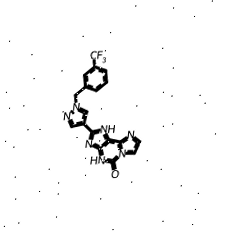 O=c1[nH]c2nc(-c3cnn(Cc4cccc(C(F)(F)F)c4)c3)[nH]c2c2nccn12